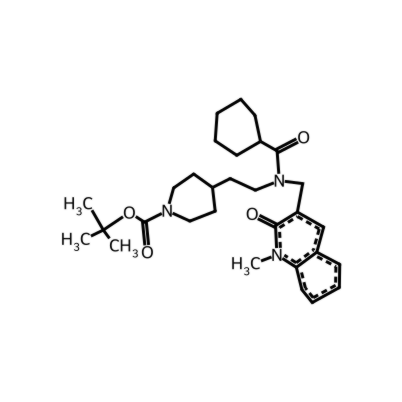 Cn1c(=O)c(CN(CCC2CCN(C(=O)OC(C)(C)C)CC2)C(=O)C2CCCCC2)cc2ccccc21